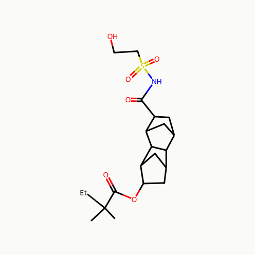 CCC(C)(C)C(=O)OC1CC2CC1C1C3CC(CC3C(=O)NS(=O)(=O)CCO)C21